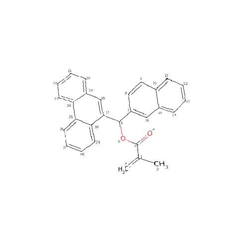 C=C(C)C(=O)OC(c1ccc2ccccc2c1)c1cc2ccccc2c2ccccc12